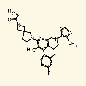 C=CC(=O)N1CC2(CCN(c3nc4c(c(-c5ccc(F)cc5F)c3C)CCN(c3scnc3C)C4)C2)C1